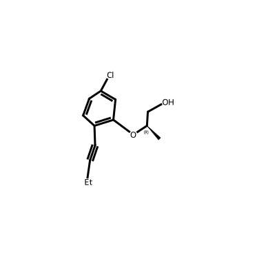 CCC#Cc1ccc(Cl)cc1O[C@H](C)CO